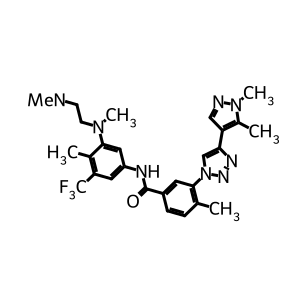 CNCCN(C)c1cc(NC(=O)c2ccc(C)c(-n3cc(-c4cnn(C)c4C)nn3)c2)cc(C(F)(F)F)c1C